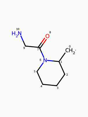 [CH2]C1CCCCN1C(=O)CN